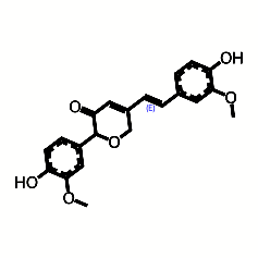 COc1cc(/C=C/C2=CC(=O)C(c3ccc(O)c(OC)c3)OC2)ccc1O